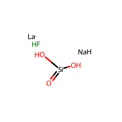 F.O=[Si](O)O.[La].[NaH]